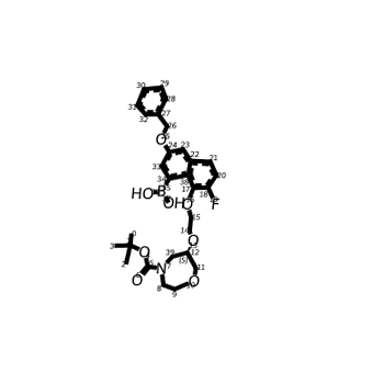 CC(C)(C)OC(=O)N1CCOC[C@@H](OCCOc2c(F)ccc3cc(OCc4ccccc4)cc(B(O)O)c23)C1